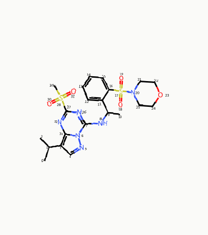 CC(C)c1cnn2c(NC(C)c3ccccc3S(=O)(=O)N3CCOCC3)nc(S(C)(=O)=O)nc12